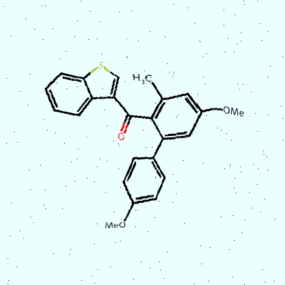 COc1ccc(-c2cc(OC)cc(C)c2C(=O)c2csc3ccccc23)cc1